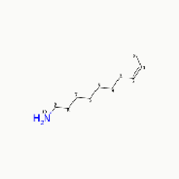 C/C=C\CCCCCCCN